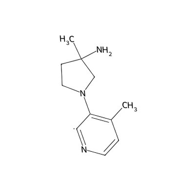 Cc1ccn[c]c1N1CCC(C)(N)C1